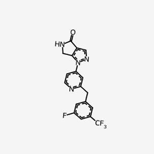 O=C1NCc2c1cnn2-c1ccnc(Cc2cc(F)cc(C(F)(F)F)c2)c1